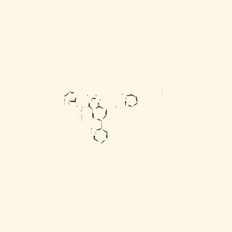 O=C(O)c1ccc(COc2cc(-c3ncccc3Cl)cc3c(Nc4nccs4)n[nH]c23)nc1